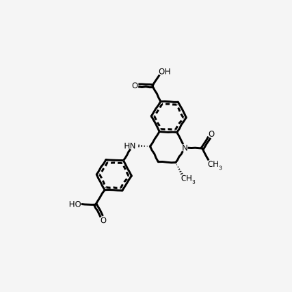 CC(=O)N1c2ccc(C(=O)O)cc2[C@@H](Nc2ccc(C(=O)O)cc2)C[C@H]1C